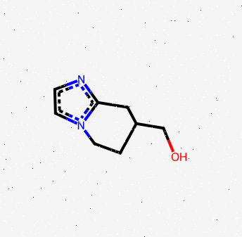 OCC1CCn2ccnc2C1